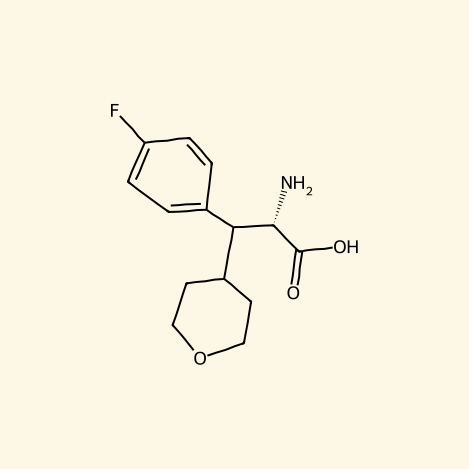 N[C@H](C(=O)O)C(c1ccc(F)cc1)C1CCOCC1